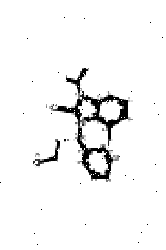 CC(C)n1c(=O)n([C@@H](CCCl)c2ccccc2)c2c(F)cccc21